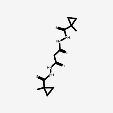 CC1(C(=S)NNC(=O)CC(=O)NNC(=S)C2(C)CC2)CC1